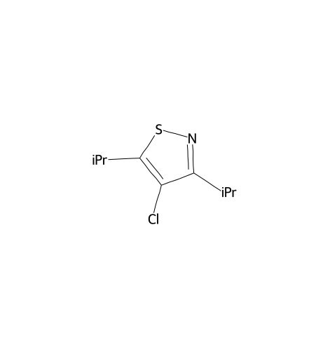 CC(C)c1nsc(C(C)C)c1Cl